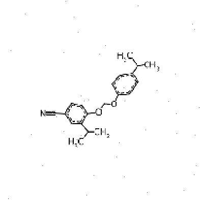 CC(C)c1ccc(OCOc2ccc(C#N)cc2C(C)C)cc1